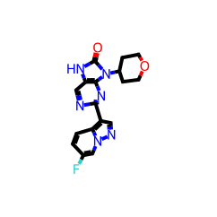 O=c1[nH]c2cnc(-c3cnn4cc(F)ccc34)nc2n1C1CCOCC1